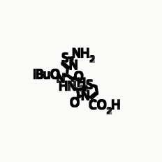 CC(C)CON=C(C(=O)NC1C(=O)N2C(C(=O)O)=CCS[C@@H]12)c1csc(N)n1